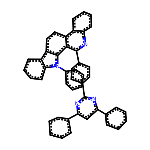 c1ccc(-c2cc(-c3ccccc3)nc(-c3ccc(-c4nc5ccccc5c5ccc6c7ccccc7n(-c7ccccc7)c6c45)cc3)n2)cc1